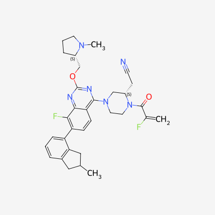 C=C(F)C(=O)N1CCN(c2nc(OC[C@@H]3CCCN3C)nc3c(F)c(-c4cccc5c4CC(C)C5)ccc23)C[C@@H]1CC#N